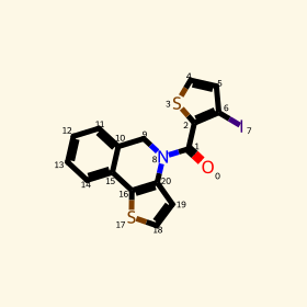 O=C(c1sccc1I)N1Cc2ccccc2-c2sccc21